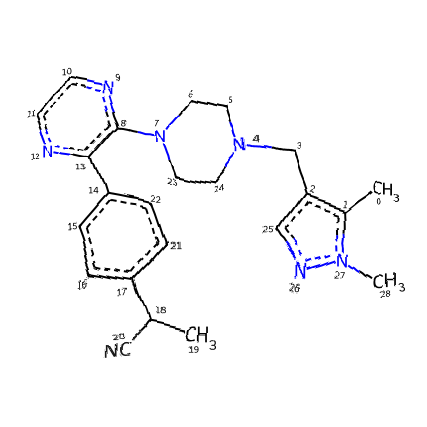 Cc1c(CN2CCN(c3nccnc3-c3ccc(C(C)C#N)cc3)CC2)cnn1C